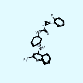 O=C(N[C@@H]1CCC[C@H](Nc2cc(C(F)(F)F)nc3ccccc23)C1)[C@@H]1C[C@H]1c1ccccc1F